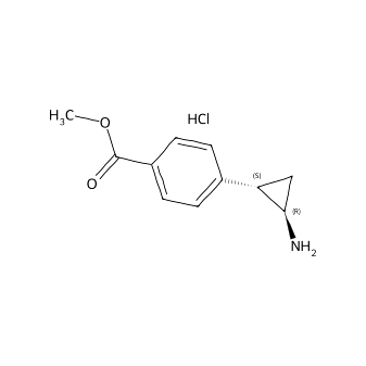 COC(=O)c1ccc([C@@H]2C[C@H]2N)cc1.Cl